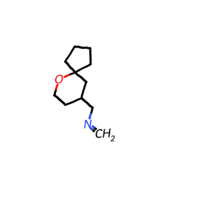 C=NCC1CCOC2(CCCC2)C1